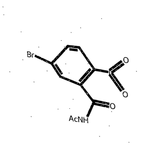 CC(=O)NC(=O)c1cc(Br)ccc1I(=O)=O